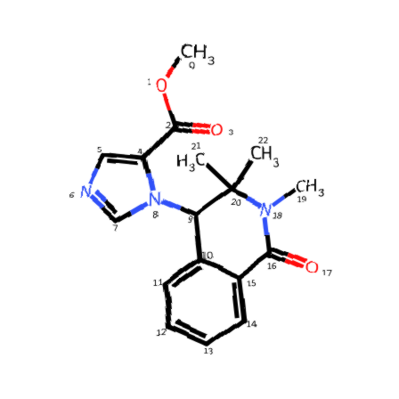 COC(=O)c1cncn1C1c2ccccc2C(=O)N(C)C1(C)C